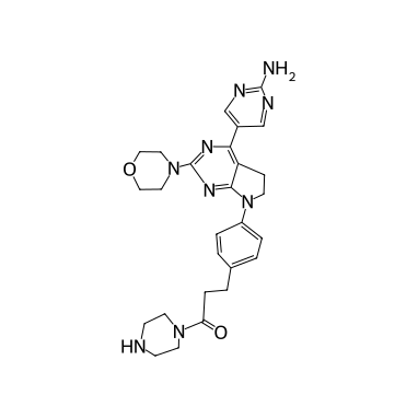 Nc1ncc(-c2nc(N3CCOCC3)nc3c2CCN3c2ccc(CCC(=O)N3CCNCC3)cc2)cn1